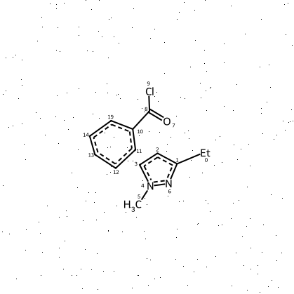 CCc1ccn(C)n1.O=C(Cl)c1ccccc1